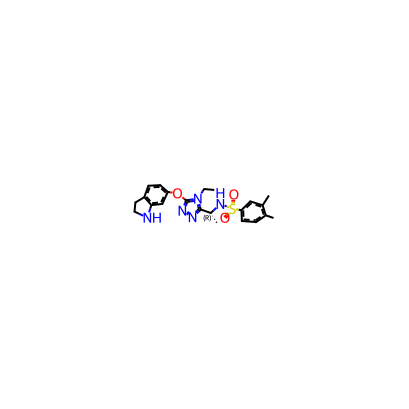 CCn1c(Oc2ccc3c(c2)NCC3)nnc1[C@@H](C)NS(=O)(=O)c1ccc(C)c(C)c1